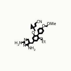 CCOc1cc(Cc2cnc(N)nc2N)cc(OCC2(/C=C/C#N)CC2)c1-c1ccc(OCOC)cc1